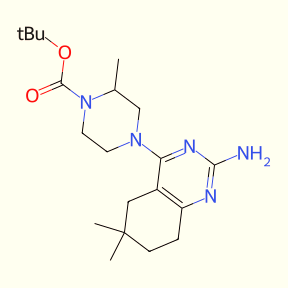 CC1CN(c2nc(N)nc3c2CC(C)(C)CC3)CCN1C(=O)OC(C)(C)C